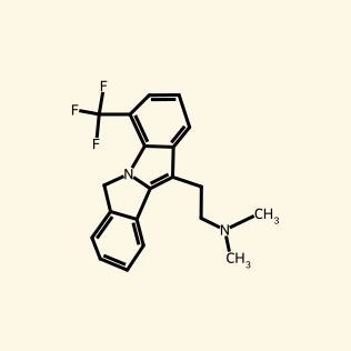 CN(C)CCc1c2n(c3c(C(F)(F)F)cccc13)Cc1ccccc1-2